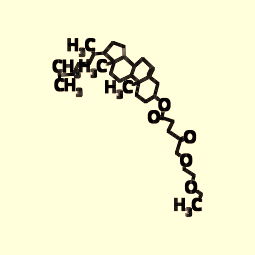 CCOCCOCC(=O)CCC(=O)OC1CCC2(C)C(=CCC3C2CCC2(C)C(C(C)CCCC(C)C)CCC32)C1